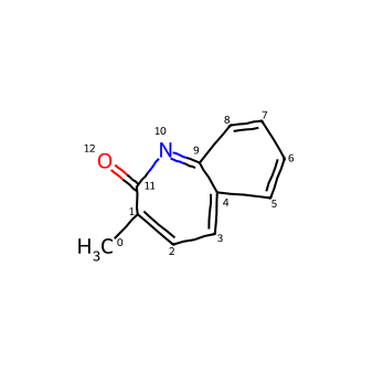 Cc1ccc2ccccc2nc1=O